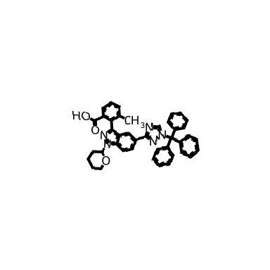 Cc1cccc(C(=O)O)c1-c1nn(C2CCCCO2)c2ccc(-c3ncn(C(c4ccccc4)(c4ccccc4)c4ccccc4)n3)cc12